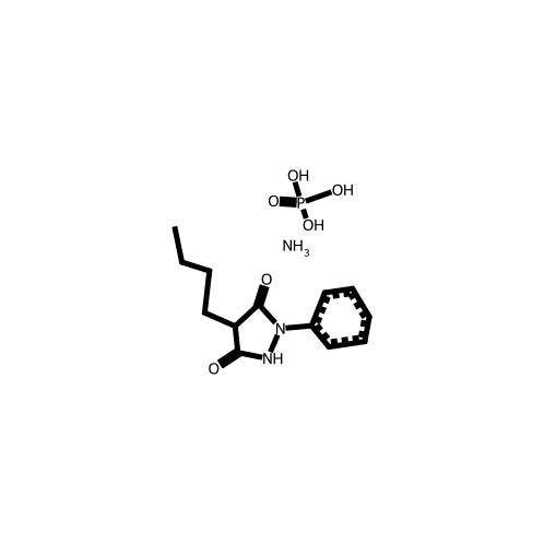 CCCCC1C(=O)NN(c2ccccc2)C1=O.N.O=P(O)(O)O